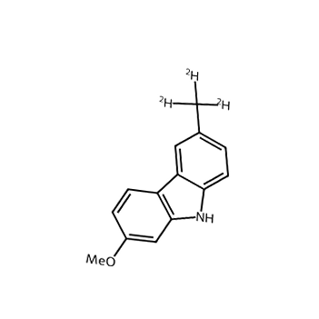 [2H]C([2H])([2H])c1ccc2[nH]c3cc(OC)ccc3c2c1